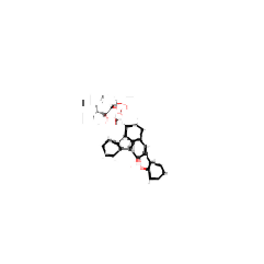 CC1(C)OB(c2ccc3cc4c(oc5ccccc54)c4c3c2-c2ccccc2-4)OC1(C)C